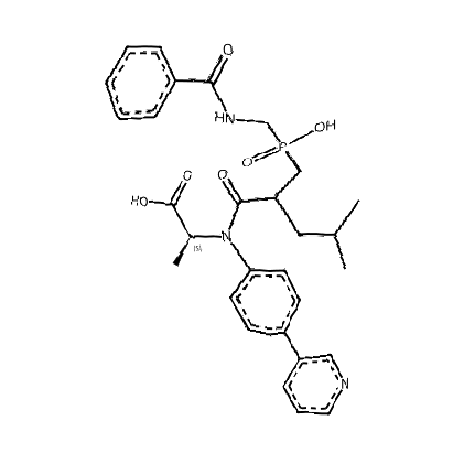 CC(C)CC(CP(=O)(O)CNC(=O)c1ccccc1)C(=O)N(c1ccc(-c2cccnc2)cc1)[C@@H](C)C(=O)O